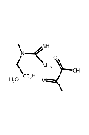 CC(=O)C(=O)O.CN(CC(=O)O)C(=N)N.O